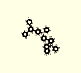 C1=CCC(c2cc(-c3ccccc3)cc(-c3ccc(N(c4ccccc4)c4cccc(-c5cccc6c5c5ccc7ccccc7c5n6-c5ccccc5)c4)cc3)c2)C=C1